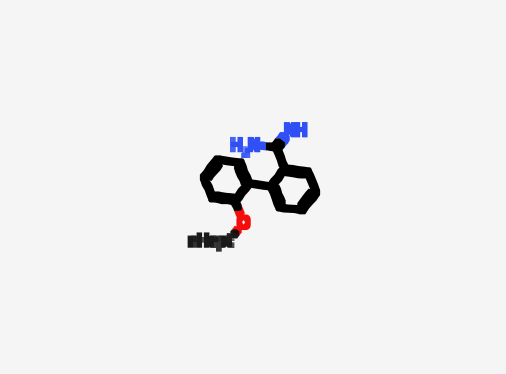 CCCCCCCOc1ccccc1-c1ccccc1C(=N)N